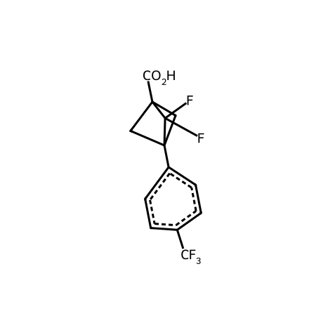 O=C(O)C12CC(c3ccc(C(F)(F)F)cc3)(C1)C2(F)F